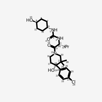 CC(C)[C@@H](NC(=O)N[C@H]1CC[C@H](O)CC1)C(=O)N1CC[C@](O)(c2ccc(Cl)cc2)C(C)(C)C1